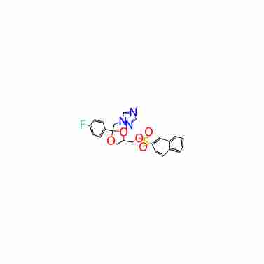 O=S(=O)(OCC1COC(Cn2cncn2)(c2ccc(F)cc2)O1)c1ccc2ccccc2c1